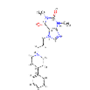 Cn1c(=O)c2c(ncn2CCCN2CCC(c3ccccc3)CC2)n(C)c1=O